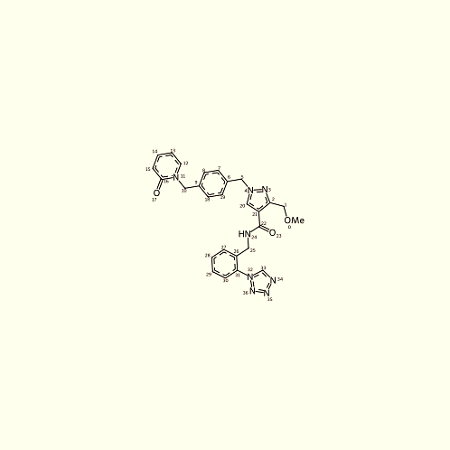 COCc1nn(Cc2ccc(Cn3ccccc3=O)cc2)cc1C(=O)NCc1ccccc1-n1cnnn1